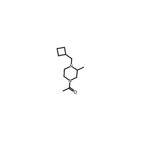 CC(=O)N1CCN(CC2CCC2)C(C)C1